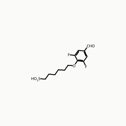 O=Cc1cc(F)c(OCCCCCCS(=O)(=O)O)c(F)c1